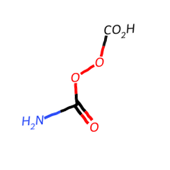 NC(=O)OOC(=O)O